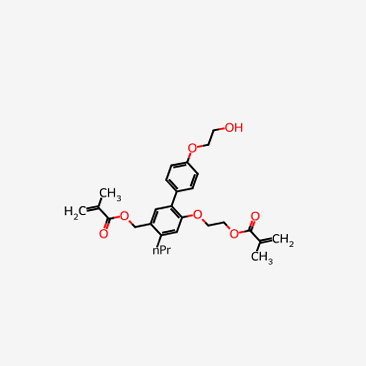 C=C(C)C(=O)OCCOc1cc(CCC)c(COC(=O)C(=C)C)cc1-c1ccc(OCCO)cc1